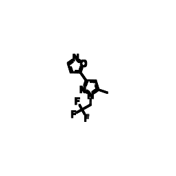 Cc1cc(-c2ccno2)nn1CC(F)(F)F